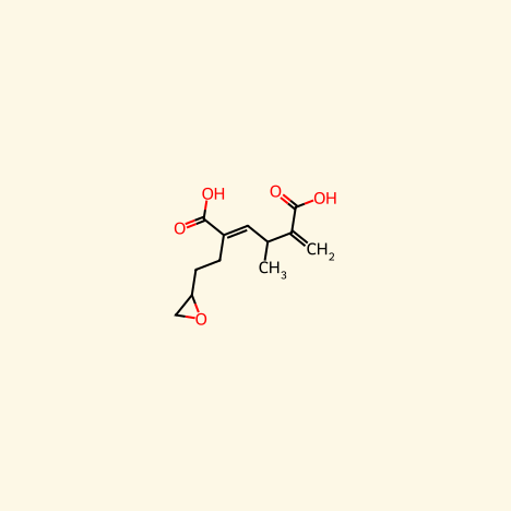 C=C(C(=O)O)C(C)C=C(CCC1CO1)C(=O)O